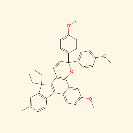 CCC1(CC)c2cc(C)ccc2-c2c1c1c(c3cc(OC)ccc23)OC(c2ccc(OC)cc2)(c2ccc(OC)cc2)C=C1